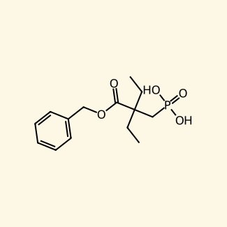 CCC(CC)(CP(=O)(O)O)C(=O)OCc1ccccc1